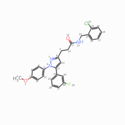 COc1ccc(-n2nc(CCC(=O)NCc3ccccc3Cl)cc2-c2cccc(F)c2)cc1